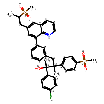 CC(Cc1cc(-c2cccc(CC(C)(c3ccc(S(C)(=O)=O)cc3)C(C)(O)c3ccc(F)cc3)c2)c2ncccc2c1)S(C)(=O)=O